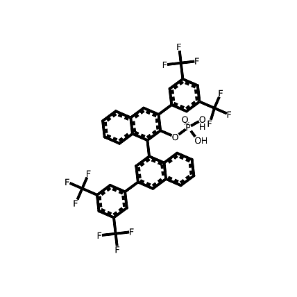 O=P(O)(O)Oc1c(-c2cc(C(F)(F)F)cc(C(F)(F)F)c2)cc2ccccc2c1-c1cc(-c2cc(C(F)(F)F)cc(C(F)(F)F)c2)cc2ccccc12